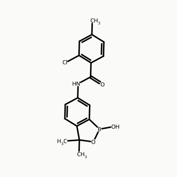 Cc1ccc(C(=O)Nc2ccc3c(c2)B(O)OC3(C)C)c(Cl)c1